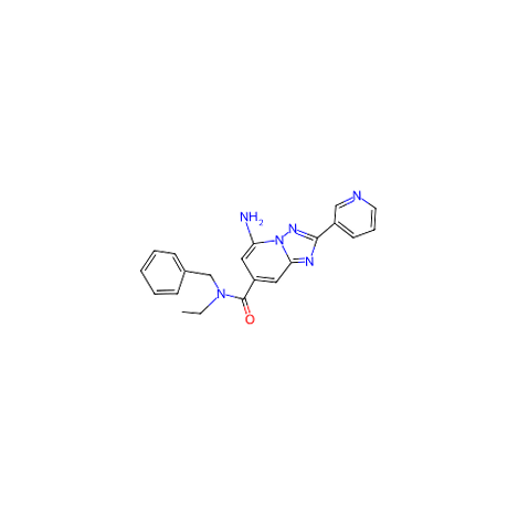 CCN(Cc1ccccc1)C(=O)c1cc(N)n2nc(-c3cccnc3)nc2c1